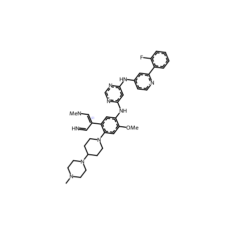 CN/C=C(\C=N)c1cc(Nc2cc(Nc3ccnc(-c4ccccc4F)c3)ncn2)c(OC)cc1N1CCC(N2CCN(C)CC2)CC1